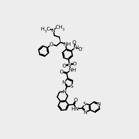 CN(C)CC[C@H](COc1ccccc1)Nc1ccc(S(=O)(=O)NC(=O)c2csc(N3CCc4cccc(C(=O)Nc5nc6ccncc6s5)c4C3)n2)cc1[N+](=O)[O-]